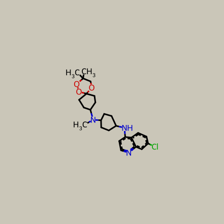 CN(C1CCC(Nc2ccnc3cc(Cl)ccc23)CC1)C1CCC2(CC1)OCC(C)(C)OO2